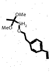 C=Cc1ccc(CCO[SiH2]C(C)(OC)OC)cc1